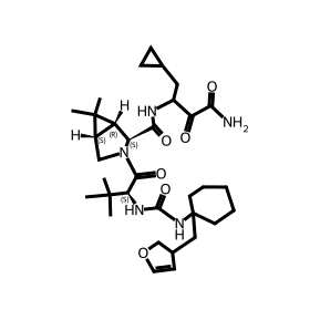 CC(C)(C)[C@H](NC(=O)NC1(CC2C=COC2)CCCCC1)C(=O)N1C[C@H]2[C@@H]([C@H]1C(=O)NC(CC1CC1)C(=O)C(N)=O)C2(C)C